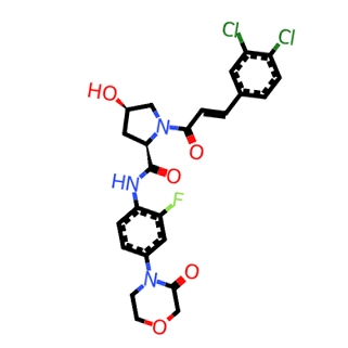 O=C(Nc1ccc(N2CCOCC2=O)cc1F)[C@H]1C[C@@H](O)CN1C(=O)/C=C/c1ccc(Cl)c(Cl)c1